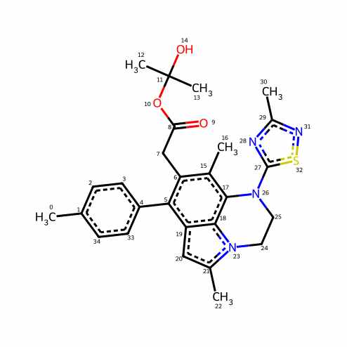 Cc1ccc(-c2c(CC(=O)OC(C)(C)O)c(C)c3c4c2cc(C)n4CCN3c2nc(C)ns2)cc1